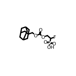 O=C(OCC(F)S(=O)(=O)O)OCC12CC3CC(CC(C3)C1)C2